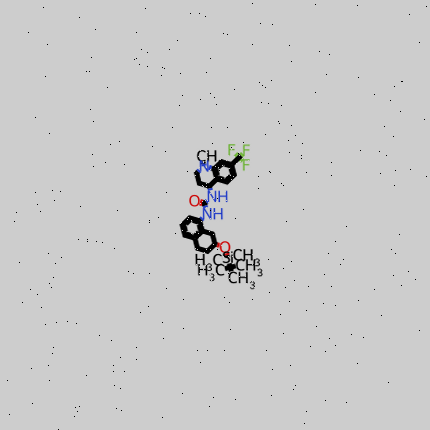 CN1CCC(NC(=O)Nc2cccc3c2CC(O[Si](C)(C)C(C)(C)C)CC3)c2ccc(C(F)(F)F)cc21